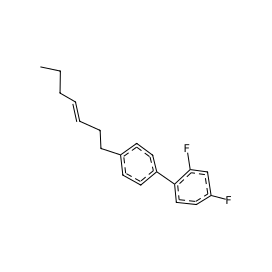 CCCC=CCCc1ccc(-c2ccc(F)cc2F)cc1